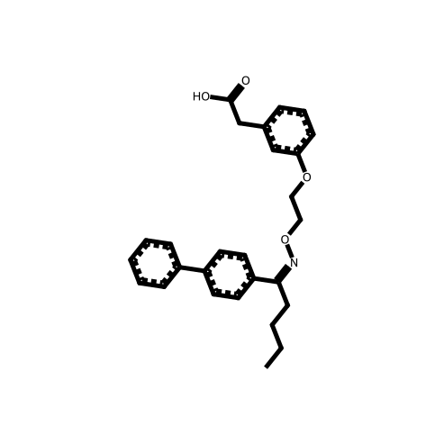 CCCCC(=NOCCOc1cccc(CC(=O)O)c1)c1ccc(-c2ccccc2)cc1